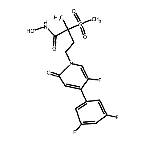 CC(CCn1cc(F)c(-c2cc(F)cc(F)c2)cc1=O)(C(=O)NO)S(C)(=O)=O